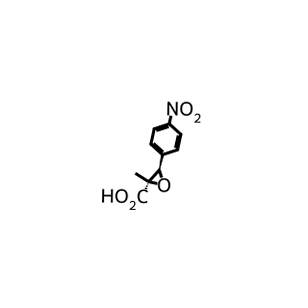 C[C@]1(C(=O)O)O[C@@H]1c1ccc([N+](=O)[O-])cc1